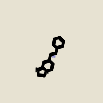 C(=C\c1ccn2ccnc2c1)/c1ccccc1